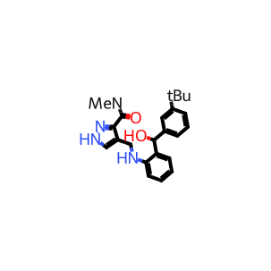 CNC(=O)c1n[nH]cc1CNc1ccccc1C(O)c1cccc(C(C)(C)C)c1